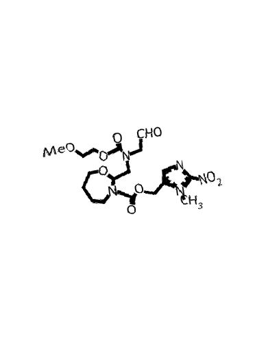 COCCOC(=O)N(CC=O)CC1OCCCCN1C(=O)OCc1cnc([N+](=O)[O-])n1C